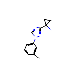 CC(C)c1cccc(-n2cnc(C3(N)CC3)n2)c1